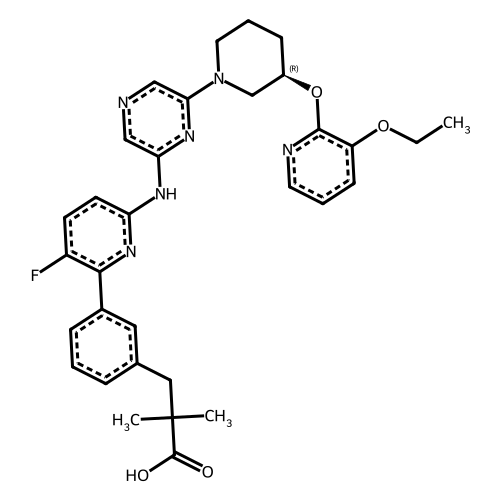 CCOc1cccnc1O[C@@H]1CCCN(c2cncc(Nc3ccc(F)c(-c4cccc(CC(C)(C)C(=O)O)c4)n3)n2)C1